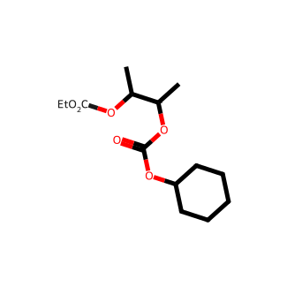 CCOC(=O)OC(C)[C](C)OC(=O)OC1CCCCC1